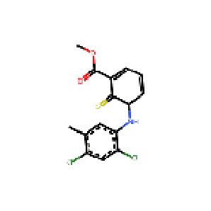 COC(=O)C1=CC=CC(Nc2cc(C)c(Cl)cc2Cl)C1=S